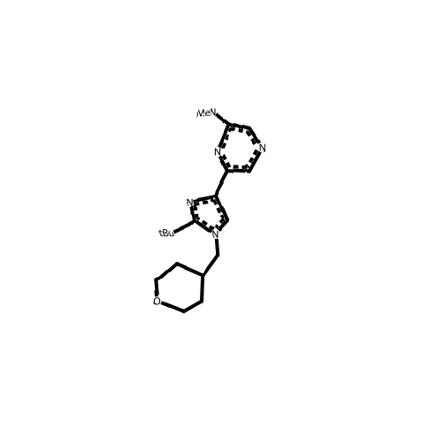 CNc1cncc(-c2cn(CC3CCOCC3)c(C(C)(C)C)n2)n1